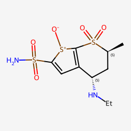 CCN[C@H]1C[C@H](C)S(=O)(=O)c2c1cc(S(N)(=O)=O)[s+]2[O-]